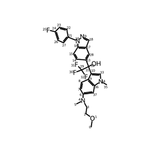 COCCN(C)c1ccc2c(C(O)(c3ccc4c(cnn4-c4ccc(F)cc4)c3)C(F)(F)F)cn(C)c2c1